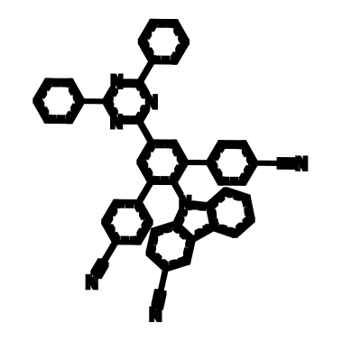 N#Cc1ccc(-c2cc(-c3nc(-c4ccccc4)nc(-c4ccccc4)n3)cc(-c3ccc(C#N)cc3)c2-n2c3ccccc3c3cc(C#N)ccc32)cc1